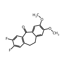 COc1cc2c(cc1OC)C(=O)c1cc(F)c(F)cc1CC2